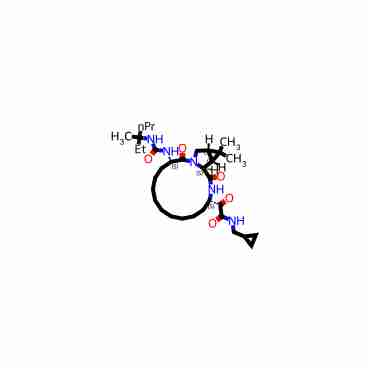 CCCC(C)(CC)NC(=O)N[C@H]1CCCCCCCCC[C@@H](C(=O)C(=O)NCC2CC2)NC(=O)[C@@H]2[C@@H]3[C@H](CN2C1=O)C3(C)C